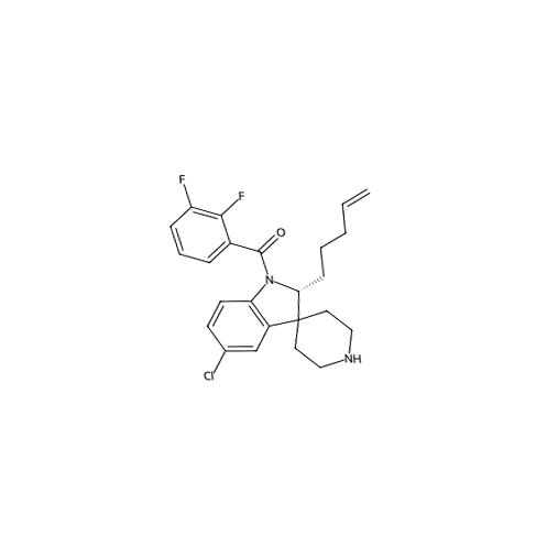 C=CCCC[C@H]1N(C(=O)c2cccc(F)c2F)c2ccc(Cl)cc2C12CCNCC2